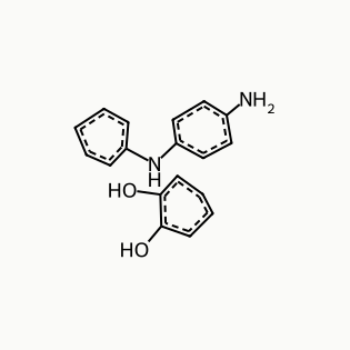 Nc1ccc(Nc2ccccc2)cc1.Oc1ccccc1O